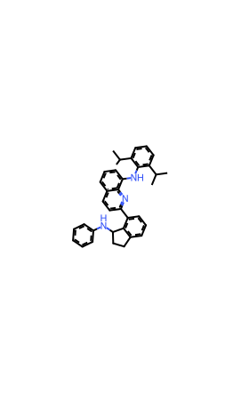 CC(C)c1cccc(C(C)C)c1Nc1cccc2ccc(-c3cccc4c3C(Nc3ccccc3)CC4)nc12